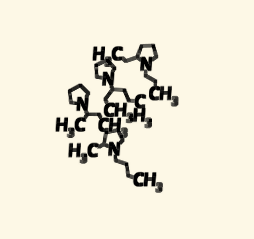 CCC(C)N1CCCC1.CCCC(CC)N1CCCC1.CCCCN1CCCC1C.CCCN1CCCC1CC